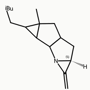 C=C1[C@@H]2CC3CC4(C)C(CC(C)CC)C4C3N12